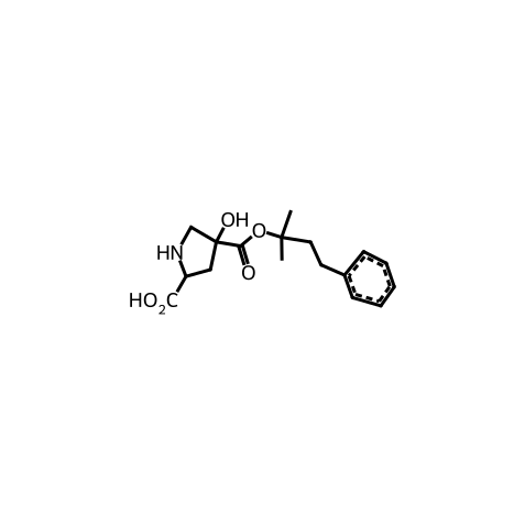 CC(C)(CCc1ccccc1)OC(=O)C1(O)CNC(C(=O)O)C1